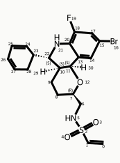 C=CS(=O)(=O)NC[C@H]1CC[C@@H]2[C@H](O1)c1cc(Br)cc(F)c1N[C@H]2C1C=CC=CC1